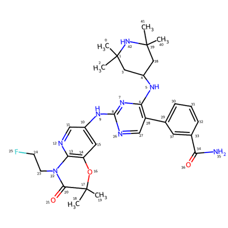 CC1(C)CC(Nc2nc(Nc3cnc4c(c3)OC(C)(C)C(=O)N4CCF)ncc2-c2cccc(C(N)=O)c2)CC(C)(C)N1